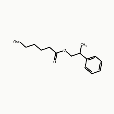 CCCCCCCCCCCCCC(=O)OCC(C)c1ccccc1